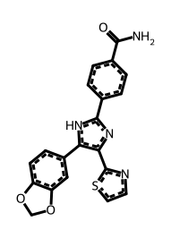 NC(=O)c1ccc(-c2nc(-c3nccs3)c(-c3ccc4c(c3)OCO4)[nH]2)cc1